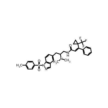 Cc1ccc(S(=O)(=O)n2ncc3cc(CC(CNC(=O)C=C(c4ccccc4)C4(C(F)(F)F)CC4)N(C)C)ccc32)cc1